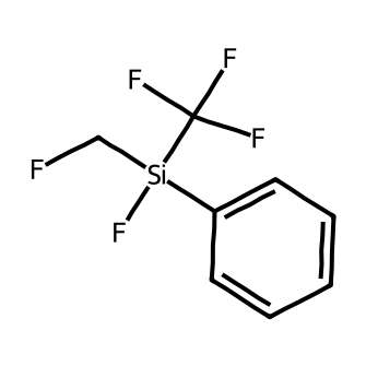 FC[Si](F)(c1ccccc1)C(F)(F)F